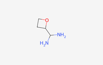 NC(N)C1CCO1